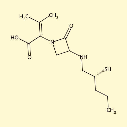 CCC[C@@H](S)CNC1CN(C(C(=O)O)=C(C)C)C1=O